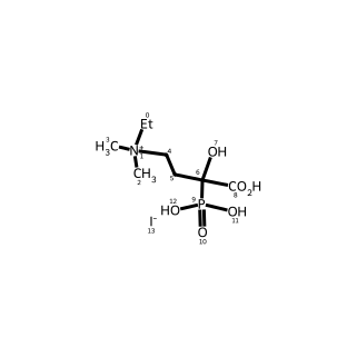 CC[N+](C)(C)CCC(O)(C(=O)O)P(=O)(O)O.[I-]